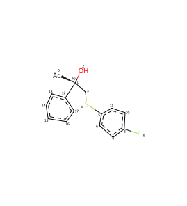 CC(=O)[C@@](O)(CSc1ccc(F)cc1)c1ccccc1